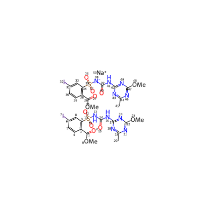 COC(=O)c1ccc(I)cc1S(=O)(=O)NC(=O)Nc1nc(C)nc(OC)n1.COC(=O)c1ccc(I)cc1S(=O)(=O)[N-]C(=O)Nc1nc(C)nc(OC)n1.[Na+]